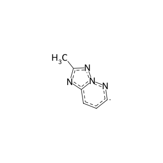 Cc1nc2cc[c]nn2n1